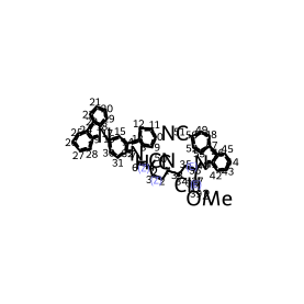 C=C(/C=C\C(C#N)=C\n1c2ccccc2c2cc(-n3c4ccccc4c4ccccc43)ccc21)C(=C)/C=C(\C=C\OC)n1c2ccccc2c2ccc(C#N)cc21